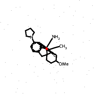 COC1CCC2(CC1)Cc1ccc(N3CCCC3)cc1C21N=C(N)N(C)C1=O